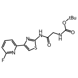 CC(C)(C)OC(=O)NCC(=O)Nc1nc(-c2cccc(F)n2)cs1